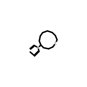 C=CN(/C=C\C)C1CCCCCCCCCCC1